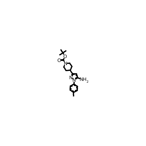 Cc1ccc(-n2nc(C3CCN(C(=O)OC(C)(C)C)CC3)cc2N)cc1